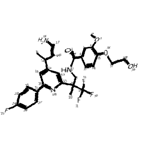 COc1cc(C(=O)NCC(C)(c2cc(C(C)CCN)cc(-c3ccc(F)cc3)n2)C(F)(F)F)ccc1OCCO